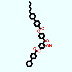 CCCCCC1CCC(c2ccc(C(=O)Oc3ccc(C(=O)c4ccc(OC(=O)c5ccc(C6CCCCC6)cc5)cc4O)cc3)cc2)CC1